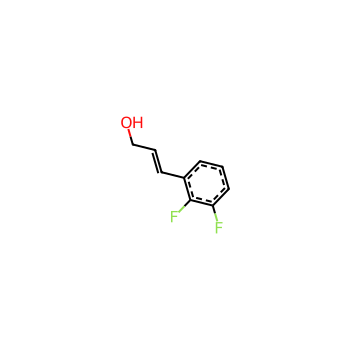 OCC=Cc1cccc(F)c1F